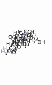 C/C=C(\C)C(=O)O[C@H](CC(C)C)C(=O)N[C@@H](C)C(=O)N(C)[C@H](Cc1ccccc1)C(=O)N(C)CC(=O)N[C@H](C(=O)N[C@H](C)C(=O)O[C@H](/C(C)=C/C)[C@@H](C)[C@H](C)OC(=O)NCCOCCO)C(C)CC